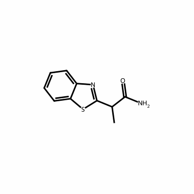 CC(C(N)=O)c1nc2ccccc2s1